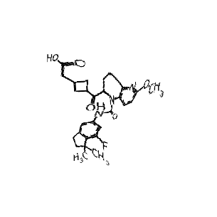 COc1ccc2c(n1)CCC(C(=O)C1CC(CC(=O)O)C1)N2C(=O)Nc1cc(F)c2c(c1)CCC2(C)C